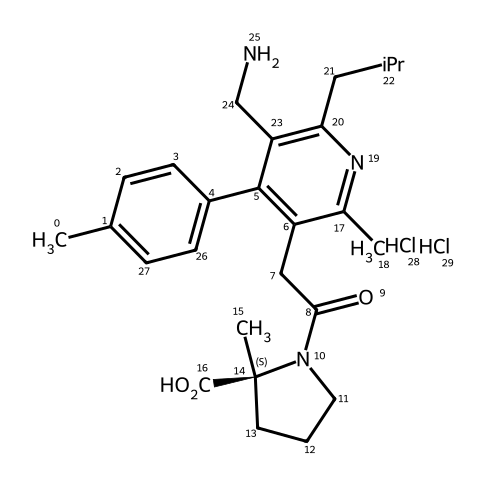 Cc1ccc(-c2c(CC(=O)N3CCC[C@@]3(C)C(=O)O)c(C)nc(CC(C)C)c2CN)cc1.Cl.Cl